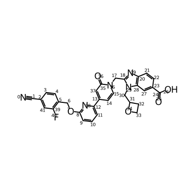 N#Cc1ccc(COc2cccc(-c3ccn(Cc4nc5ccc(C(=O)O)cc5n4CC4CCO4)c(=O)c3)n2)c(F)c1